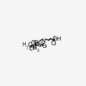 CC(C)(C)OC(=O)CN1CCN(CCCC(=O)O)C2OC21